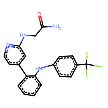 NC(=O)CNc1cc(-c2ccccc2Nc2ccc(C(F)(F)F)cc2)ccn1